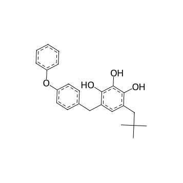 CC(C)(C)Cc1cc(Cc2ccc(Oc3ccccc3)cc2)c(O)c(O)c1O